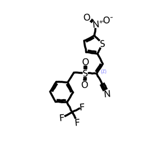 N#C/C(=C/c1ccc([N+](=O)[O-])s1)S(=O)(=O)Cc1cccc(C(F)(F)F)c1